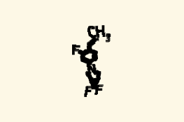 C[CH]Cc1ccc(N2CC3C(C2)C3(F)F)cc1F